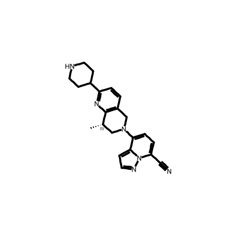 C[C@H]1CN(c2ccc(C#N)n3nccc23)Cc2ccc(C3CCNCC3)nc21